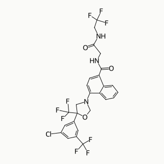 O=C(CNC(=O)c1ccc(N2COC(c3cc(Cl)cc(C(F)(F)F)c3)(C(F)(F)F)C2)c2ccccc12)NCC(F)(F)F